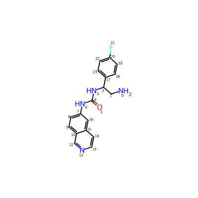 NCC(NC(=O)Nc1ccc2cnccc2c1)c1ccc(F)cc1